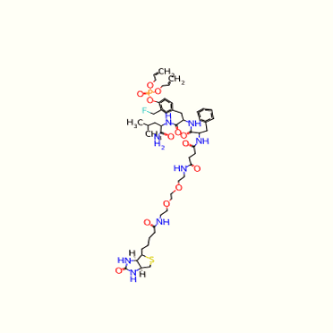 C=CCOP(=O)(OCC=C)Oc1ccc(CC(NC(=O)C(Cc2ccccc2)NC(=O)CCC(=O)NCCOCCOCCNC(=O)CCCCC2SC[C@H]3NC(=O)N[C@@H]23)C(=O)NC(CC(C)C)C(N)=O)cc1CF